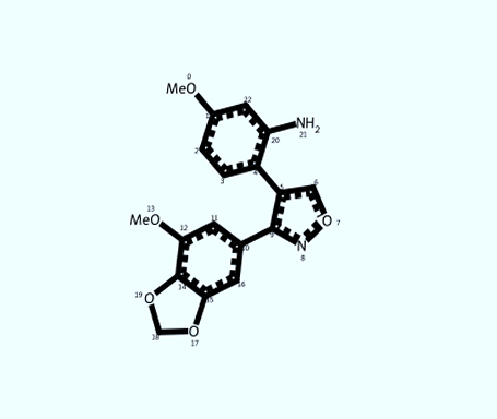 COc1ccc(-c2conc2-c2cc(OC)c3c(c2)OCO3)c(N)c1